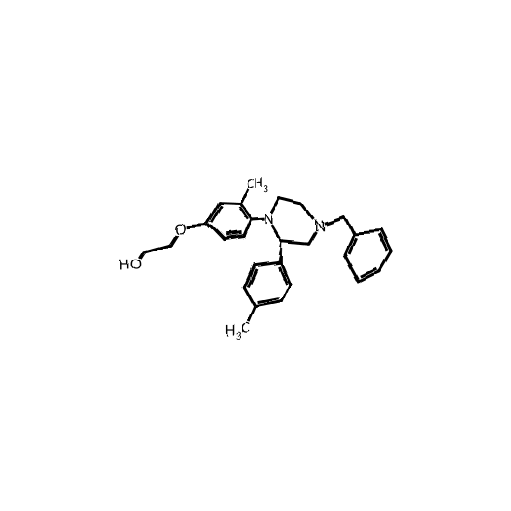 Cc1ccc([C@@H]2CN(Cc3ccccc3)CCN2c2ccc(OCCO)cc2C)cc1